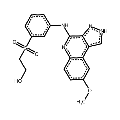 COc1ccc2nc(Nc3cccc(S(=O)(=O)CCO)c3)c3n[nH]cc3c2c1